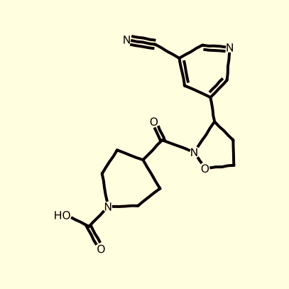 N#Cc1cncc(C2CCON2C(=O)C2CCN(C(=O)O)CC2)c1